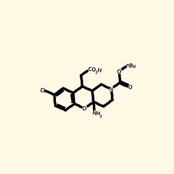 CCCCOC(=O)N1CCC2(N)Oc3ccc(Cl)cc3C(CC(=O)O)C2C1